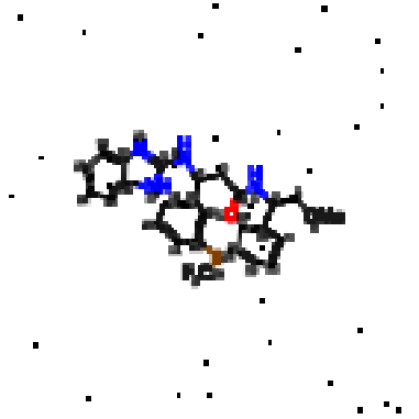 COC[C@H](NC(=O)CC(Nc1nc2ccccc2[nH]1)c1cccc(SC(F)(F)F)c1)c1ccccc1